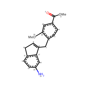 COC(=O)c1ccc(CC2=CCc3ccc(N)cc32)c(OC)c1